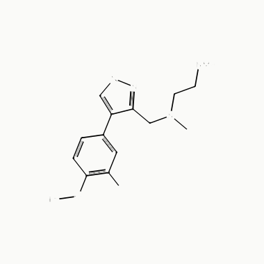 CNCCN(C)Cc1n[nH]cc1-c1ccc(OC(C)C)c(Cl)c1